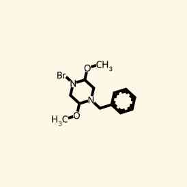 COC1CN(Cc2ccccc2)C(OC)CN1Br